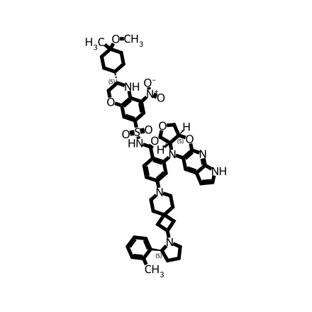 COC1(C)CCC([C@H]2COc3cc(S(=O)(=O)NC(=O)c4ccc(N5CCC6(CC5)CC(N5CCC[C@H]5c5ccccc5C)C6)cc4N4c5cc6cc[nH]c6nc5O[C@@H]5COC[C@H]54)cc([N+](=O)[O-])c3N2)CC1